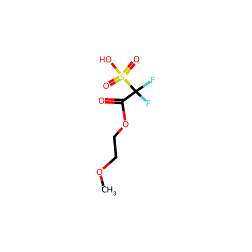 COCCOC(=O)C(F)(F)S(=O)(=O)O